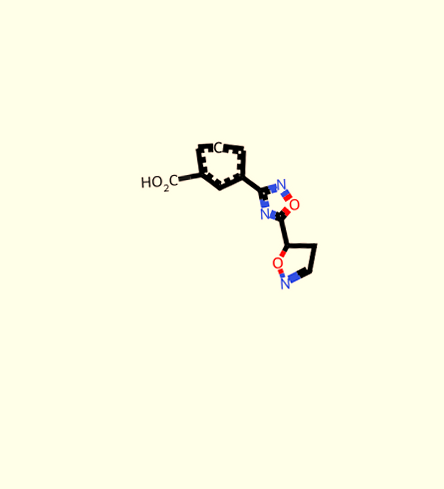 O=C(O)c1cccc(-c2noc(C3CC=NO3)n2)c1